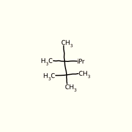 CC(C)C(C)(C)C(C)(C)C